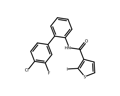 O=C(Nc1ccccc1-c1ccc(Cl)c(F)c1)c1ccsc1I